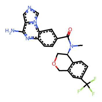 CN(C(=O)c1ccc2nc(N)c3cncn3c2c1)[C@@H]1COCc2cc(C(F)(F)F)ccc21